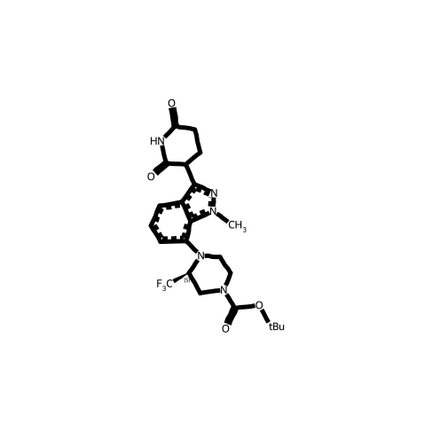 Cn1nc(C2CCC(=O)NC2=O)c2cccc(N3CCN(C(=O)OC(C)(C)C)C[C@H]3C(F)(F)F)c21